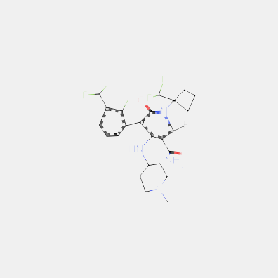 CCc1c(C(N)=O)c(NC2CCN(C)CC2)c(-c2cccc(C(F)F)c2F)c(=O)n1C1(C(F)F)CCC1